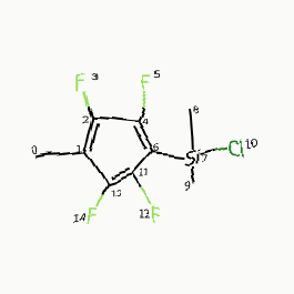 Cc1c(F)c(F)c([Si](C)(C)Cl)c(F)c1F